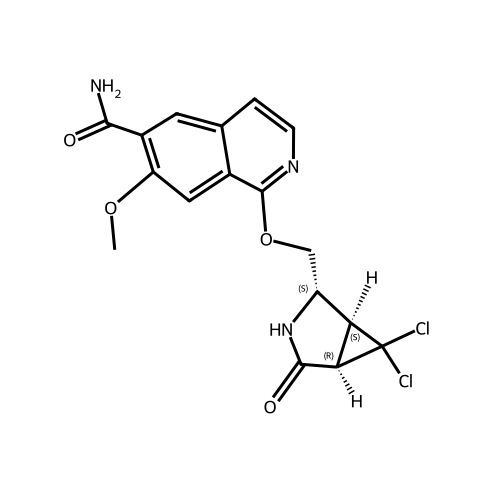 COc1cc2c(OC[C@H]3NC(=O)[C@H]4[C@@H]3C4(Cl)Cl)nccc2cc1C(N)=O